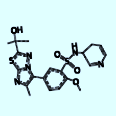 COc1ccc(-c2c(C)nc3sc(C(C)(C)O)nn23)cc1S(=O)(=O)NC1C=NC=CC1